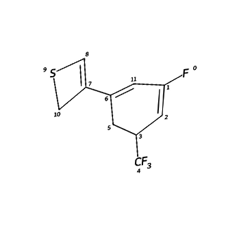 FC1=CC(C(F)(F)F)CC(C2=CSC2)=C1